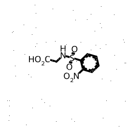 O=C(O)CNS(=O)(=O)c1ccccc1[N+](=O)[O-]